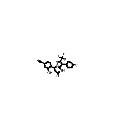 N#Cc1ccc(-c2cc(=O)[nH]c3c(-c4ccc(Cl)cc4)c(C(F)(F)F)nn23)c(O)c1